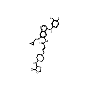 CN(C1CCN(C/C=C/C(=O)Nc2cc3c(Nc4ccc(F)c(Cl)c4)ncnc3cc2OCC2CC2)CC1)C1CCOC1=O